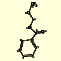 O=C(OCOC(F)(F)F)c1ccccc1